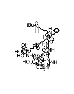 CCC(C)C(=O)NCCCCCC(=O)N[C@@H](Cc1ccccc1)C(=O)N[C@@H](CCCCNC(=O)CCCO[C@@H]1OC(CO)[C@@H](O)[C@H](O)C1NC(C)=O)C(=O)NCC(=O)N[C@@H](CCCNC(=N)N)C(=O)NCC(=O)N[C@@H](CC(=O)O)C(=O)N[C@@H](CO)C(=O)O